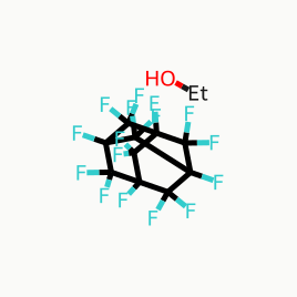 CCO.FC1(F)C2(F)C(F)(F)C3(F)C(F)(F)C1(F)C(F)(F)C(F)(C2(F)F)C3(F)F